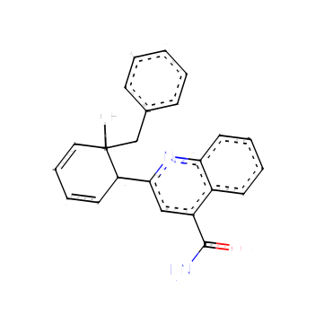 C[C@@H](c1ccccc1)C1(C(F)(F)F)C=CC=CC1c1cc(C(N)=O)c2ccccc2n1